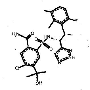 Cc1ccc(F)c([C@H](C)[C@@H](NS(=O)(=O)c2cc(C(C)(C)O)c(Cl)cc2C(N)=O)c2nn[nH]n2)c1C